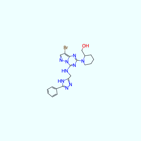 OCC1CCCCN1c1nc(NCc2nnc(-c3ccccc3)[nH]2)n2ncc(Br)c2n1